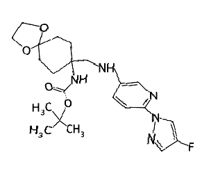 CC(C)(C)OC(=O)NC1(CNCc2ccc(-n3cc(F)cn3)nc2)CCC2(CC1)OCCO2